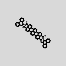 O=c1c2ccc3c4ccc5c6ccc7c(=O)n8c(nc9c%10ccccc%10c%10ccccc%10c98)c8ccc(c9ccc(c%10ccc(c2c3%10)c2nc3c%10ccccc%10c%10ccccc%10c3n12)c4c59)c6c78